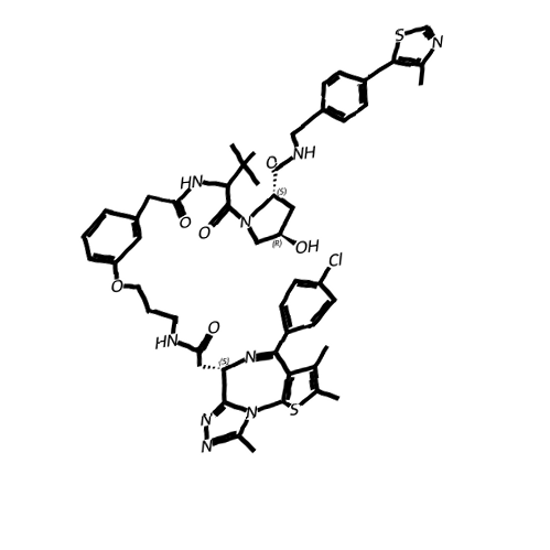 Cc1ncsc1-c1ccc(CNC(=O)[C@@H]2C[C@@H](O)CN2C(=O)C(NC(=O)Cc2cccc(OCCCNC(=O)C[C@@H]3N=C(c4ccc(Cl)cc4)c4c(sc(C)c4C)-n4c(C)nnc43)c2)C(C)(C)C)cc1